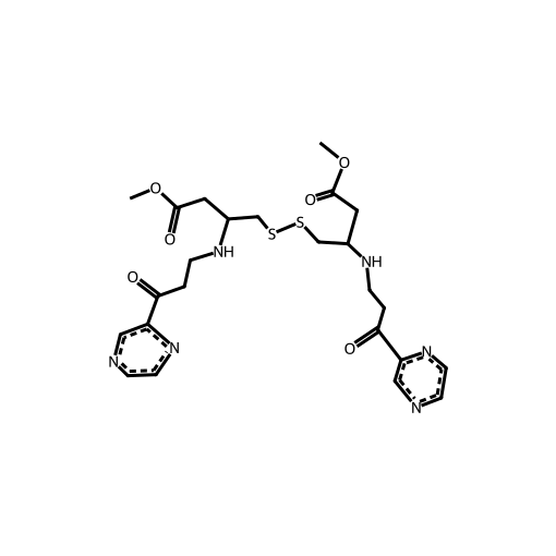 COC(=O)CC(CSSCC(CC(=O)OC)NCCC(=O)c1cnccn1)NCCC(=O)c1cnccn1